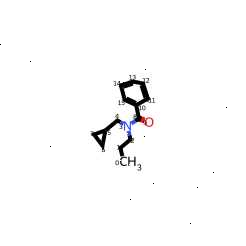 CCCN(CC1CC1)C(=O)c1[c]cccc1